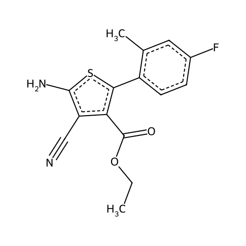 CCOC(=O)c1c(-c2ccc(F)cc2C)sc(N)c1C#N